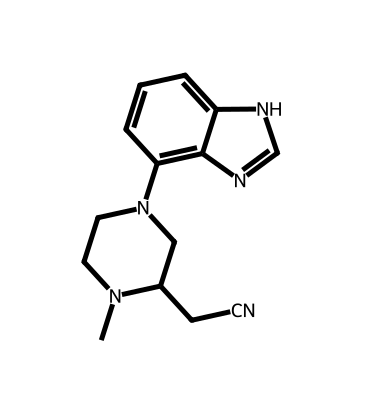 CN1CCN(c2cccc3[nH]cnc23)CC1CC#N